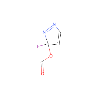 O=COC1(I)C=CN=N1